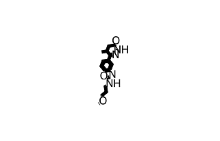 COCCCNc1nc2cc(C3=NNC(=O)CC3C)ccc2o1